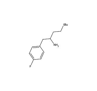 CC(C)(C)CCC(N)Cc1ccc(F)cc1